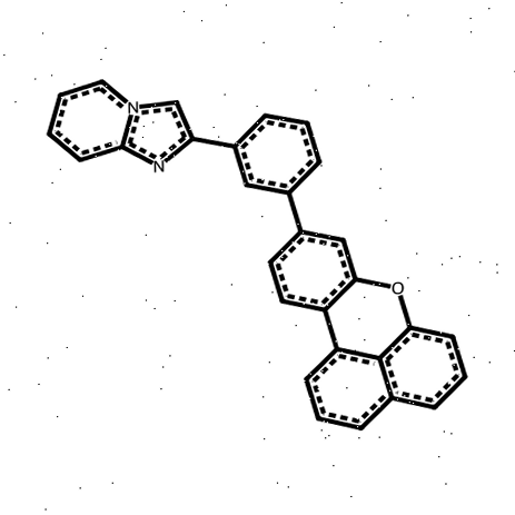 c1cc(-c2ccc3c(c2)Oc2cccc4cccc-3c24)cc(-c2cn3ccccc3n2)c1